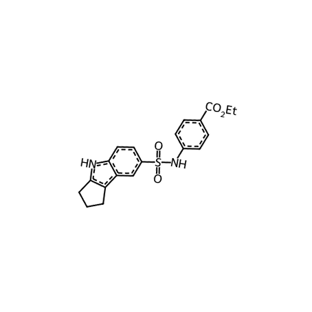 CCOC(=O)c1ccc(NS(=O)(=O)c2ccc3[nH]c4c(c3c2)CCC4)cc1